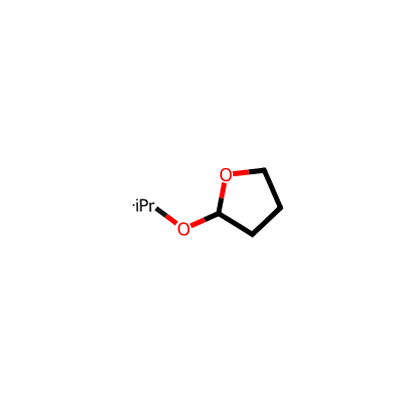 C[C](C)OC1CCCO1